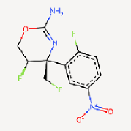 NC1=N[C@](CF)(c2cc([N+](=O)[O-])ccc2F)[C@@H](F)CO1